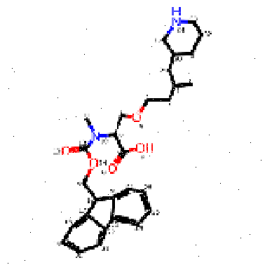 CC(CCOC[C@@H](C(=O)O)N(C)C(=O)OCC1c2ccccc2-c2ccccc21)CC1CCCNC1